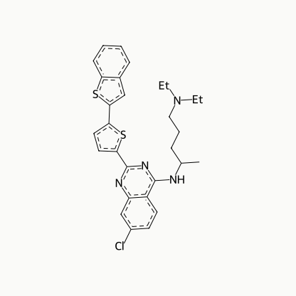 CCN(CC)CCCC(C)Nc1nc(-c2ccc(-c3cc4ccccc4s3)s2)nc2cc(Cl)ccc12